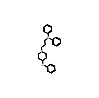 c1ccc(OC2CCN(CCCN(c3ccccc3)c3ccccc3)CC2)cc1